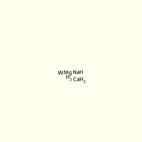 [CaH2].[MgH2].[NaH].[W]